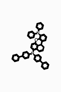 C1=Cc2c(N(c3ccc(-c4ccccc4)cc3)c3ccc(-c4ccccc4)cc3)ccc3c2C(C1)c1cccc(N(c2ccccc2)c2ccccc2)c1O3